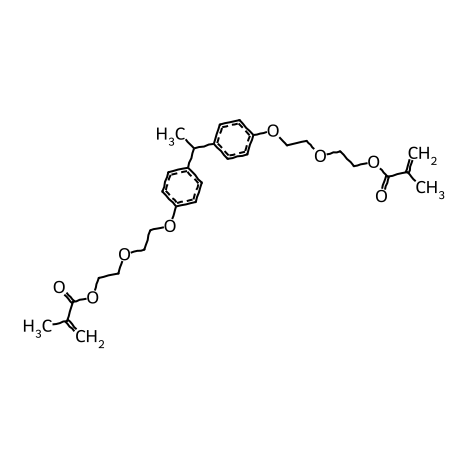 C=C(C)C(=O)OCCOCCOc1ccc(C(C)c2ccc(OCCOCCOC(=O)C(=C)C)cc2)cc1